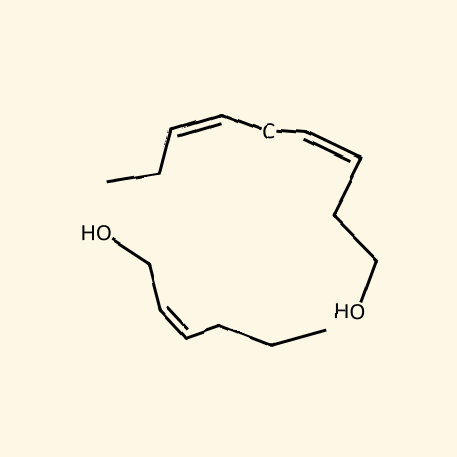 CC/C=C\C/C=C\CCO.CCC/C=C\CO